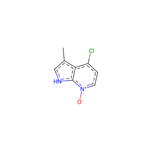 Cc1c[nH]c2c1c(Cl)cc[n+]2[O-]